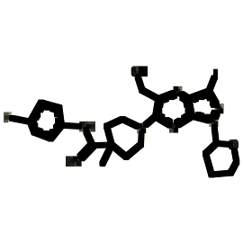 CC1(C(=N)Nc2ccc(F)cc2)CCN(c2nc3c(nc2CO)c(I)nn3C2CCCCO2)CC1